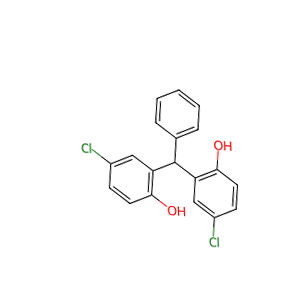 Oc1ccc(Cl)cc1C(c1ccccc1)c1cc(Cl)ccc1O